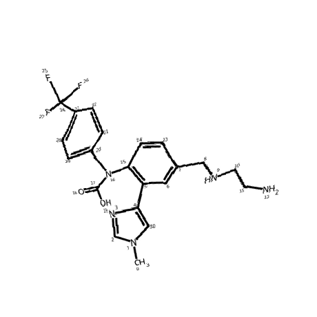 Cn1cnc(-c2cc(CNCCN)ccc2N(C(=O)O)c2ccc(C(F)(F)F)cc2)c1